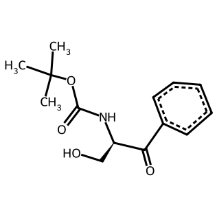 CC(C)(C)OC(=O)N[C@H](CO)C(=O)c1ccccc1